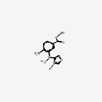 CCn1cncc1N(C)c1cc(C(=O)OC(C)(C)C)ccc1N